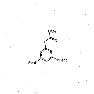 CCCCCc1cc(CCCCC)cc(CC(=O)OC)c1